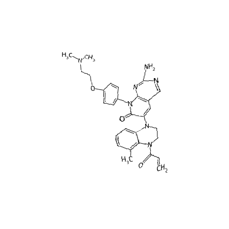 C=CC(=O)N1CCN(c2cc3cnc(N)nc3n(-c3ccc(OCCN(C)C)cc3)c2=O)c2cccc(C)c21